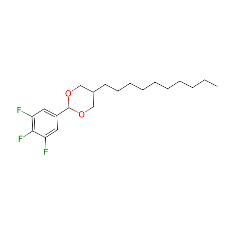 CCCCCCCCCCC1COC(c2cc(F)c(F)c(F)c2)OC1